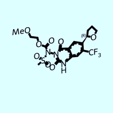 COCCOC(=O)N(n1c(=O)[nH]c2cc(C(F)(F)F)c([C@H]3CCCO3)cc2c1=O)S(C)(=O)=O